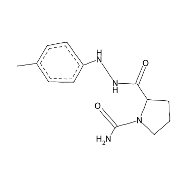 Cc1ccc(NNC(=O)C2CCCN2C(N)=O)cc1